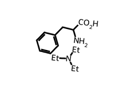 CCN(CC)CC.NC(Cc1ccccc1)C(=O)O